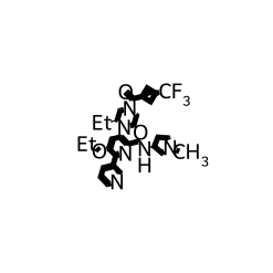 CCOc1cc(N2CCN(C(=O)C34CC(C(F)(F)F)(C3)C4)C[C@H]2CC)c(C(=O)N[C@@H]2CCN(C)C2)nc1-c1cccnc1